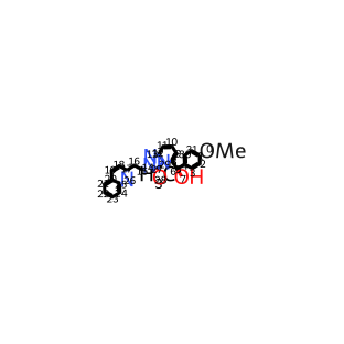 COc1ccc(C(C)(O)c2cccc3nn(CCc4ccc5ccccc5n4)c(=O)n23)cc1